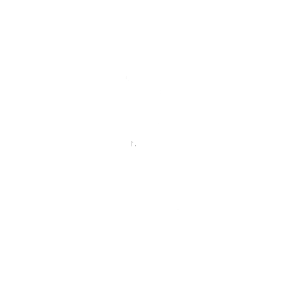 C/C(O)=C(\C)C(=O)Nc1ccc(C(F)(F)F)cc1